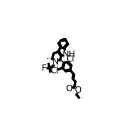 CCOC(=O)C/C=C/c1cc(Cl)c([C@@H]2c3[nH]c4ccccc4c3C[C@@H](C)N2CC(C)(C)F)c(Cl)c1